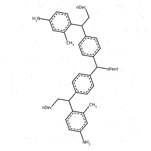 CCCCCCCCCCCC(c1ccc(C(CCCCC)c2ccc(C(CCCCCCCCCCC)c3ccc(N)cc3C)cc2)cc1)c1ccc(N)cc1C